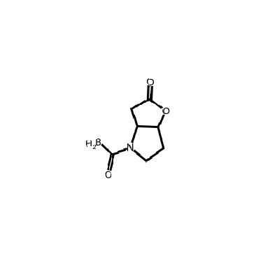 BC(=O)N1CCC2OC(=O)CC21